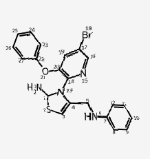 NC1SC=C(CNc2ccccc2)N1c1ncc(Br)cc1Oc1ccccc1